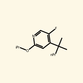 CCCC(C)(C)c1cc(OC(C)C)ncc1F